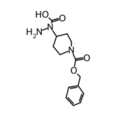 NN(C(=O)O)C1CCN(C(=O)OCc2ccccc2)CC1